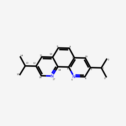 CC(C)c1cnc2c(ccc3cc(C(C)C)cnc32)c1